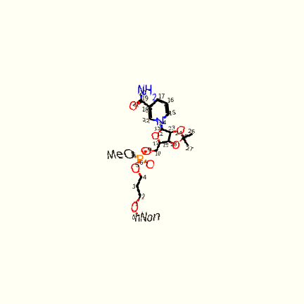 CCCCCCCCCOCCCOP(=O)(OC)OCC1OC(N2C=CCC(C(N)=O)=C2)C2OC(C)(C)OC12